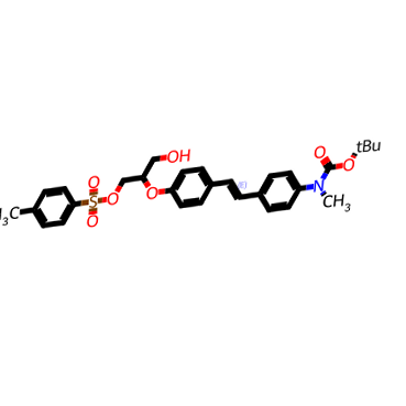 Cc1ccc(S(=O)(=O)OCC(CO)Oc2ccc(/C=C/c3ccc(N(C)C(=O)OC(C)(C)C)cc3)cc2)cc1